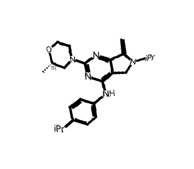 C=C1c2nc(N3CCO[C@@H](C)C3)nc(Nc3ccc(C(C)C)cc3)c2CN1C(C)C